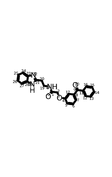 O=C(COc1cccc(C(=O)c2ccccc2)c1)NCCc1nc2ccccc2[nH]1